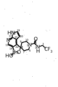 O=C(NCC(F)(F)F)N1CCC2(CC1)OB(O)c1cnc3[nH]ccc3c12